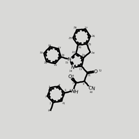 Cc1cccc(NC(=O)C(C#N)C(=O)c2nn(-c3ccccc3)c3c2Cc2ccccc2-3)c1